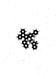 CC1(C)c2ccccc2-c2nc(-n3c4ccc5c6ccccc6c6ccccc6c5c4c4ccc5ccccc5c43)c(-c3cccc4c3sc3ccccc34)nc21